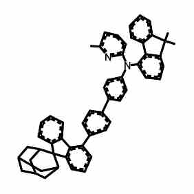 Cc1cccc(N(c2ccc(-c3ccc(-c4cccc5c4-c4ccccc4C54C5CC6CC(C5)CC4C6)cc3)cc2)c2cccc3c2-c2ccccc2C3(C)C)n1